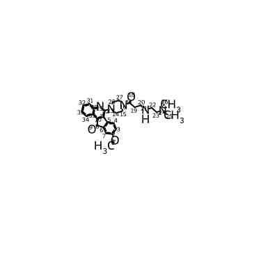 COc1ccc2c(c1)C(=O)c1c-2c(N2CCN(C(=O)CCNCCN(C)C)CC2)nc2ccccc12